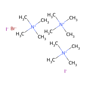 C[N+](C)(C)C.C[N+](C)(C)C.C[N+](C)(C)C.[Br-].[I-].[I-]